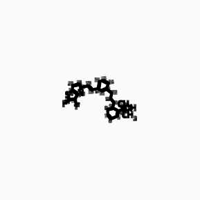 CC(C)(O)c1ccccc1CC[CH]c1cccc(C=Cc2ccc3sc(F)c(F)c3n2)c1